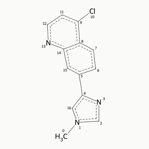 Cn1cnc(-c2ccc3c(Cl)ccnc3c2)c1